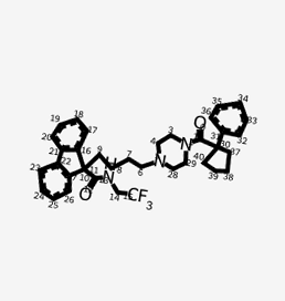 O=C(N1CCN(CCCCC2(C(=O)NCC(F)(F)F)c3ccccc3-c3ccccc32)CC1)C1(c2ccccc2)CCCC1